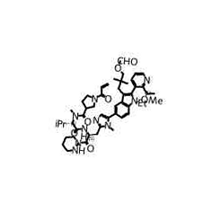 C=CC(=O)N1CCC(C(=O)N(C)[C@H](C(=O)N[C@@H](Cc2ncc(-c3ccc4c(c3)c(CC(C)(C)COC=O)c(-c3cccnc3[C@H](C)OC)n4CC)n2C)C(=O)N2CCCCN2)C(C)C)C1